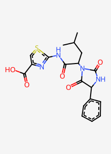 CC(C)CC(C(=O)Nc1nc(C(=O)O)cs1)N1C(=O)NC(c2ccccc2)C1=O